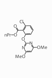 CCCOC(=O)c1c(Cl)cccc1Oc1nc(OC)cc(OC)n1